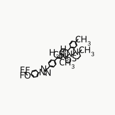 CCCc1ccc(C)cc1N1/C(=N/C(=O)N/C(C)=C(\C)c2ccc(-c3ncn(-c4ccc(OC(F)(F)F)cc4)n3)cc2)SCCC1C